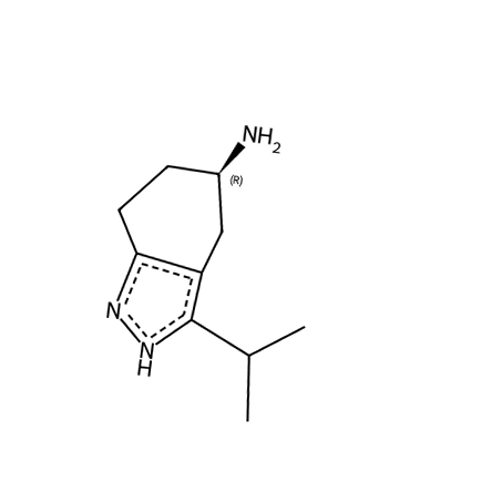 CC(C)c1[nH]nc2c1C[C@H](N)CC2